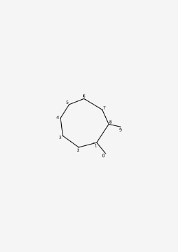 C[C]1CCCCCCC1C